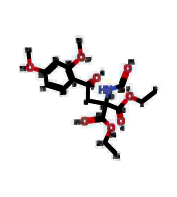 CCOC(=O)C(CC(=O)c1ccc(OC)cc1OC)(NC=O)C(=O)OCC